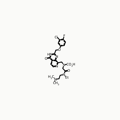 CCN(CCN(C)C)C(=O)CN(Cc1nccc2c(=O)[nH]c(COc3ccc(F)c(Cl)c3)nc12)C(=O)O